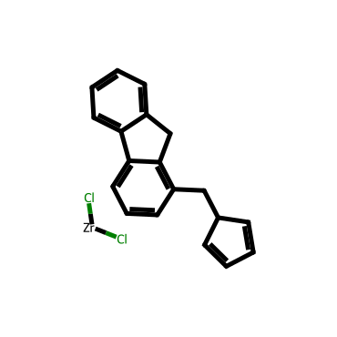 C1=CC(Cc2cccc3c2Cc2ccccc2-3)C=C1.[Cl][Zr][Cl]